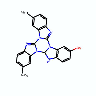 COc1ccc2nc3n(c2c1)-c1nc2ccc(OC)cc2n1C1Nc2ccc(O)cc2N31